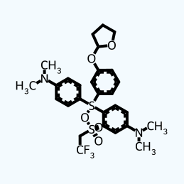 CN(C)c1ccc(S(OS(=O)(=O)CC(F)(F)F)(c2ccc(N(C)C)cc2)c2cccc(OC3CCCO3)c2)cc1